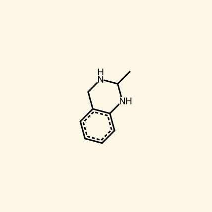 CC1NCc2ccccc2N1